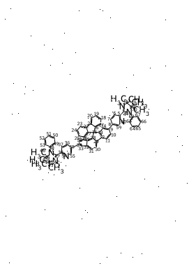 CC1(C)N=C(c2ccc(-c3ccc4c(c3)C3(c5ccccc5-c5ccccc53)c3c-4ccc4cc(-c5ccc(C6=NC(C)(C)C(C)(C)N6c6ccccc6)nc5)ccc34)cn2)N(c2ccccc2)C1(C)C